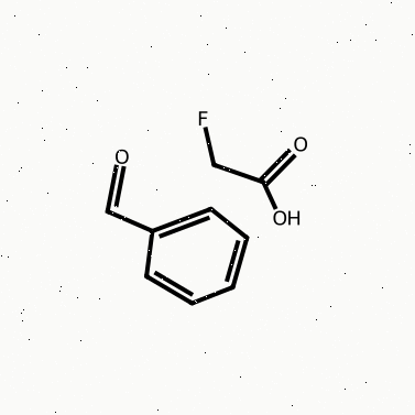 O=C(O)CF.O=Cc1ccccc1